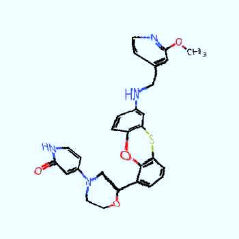 COc1cc(CNc2ccc3c(c2)Sc2cccc(C4CN(c5cc[nH]c(=O)c5)CCO4)c2O3)ccn1